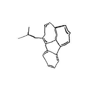 CC(C)Cc1ccc2cccc3c2c1-c1ccccc1-3